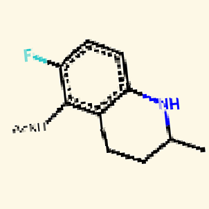 CC(=O)Nc1c(F)ccc2c1CCC(C)N2